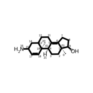 C[C@]12CC[C@@H]3C(=C1CCC2O)CCC1CC(N)C=C[C@@]13C